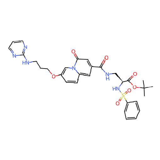 CC(C)(C)OC(=O)[C@H](CNC(=O)c1cc(=O)n2cc(OCCCNc3ncccn3)ccc2c1)NS(=O)(=O)c1ccccc1